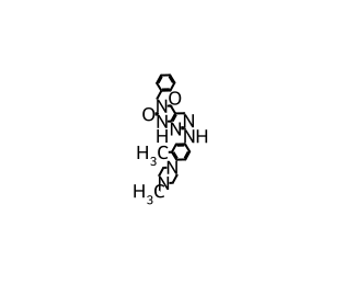 Cc1cc(Nc2ncc3c(=O)n(Cc4ccccc4)c(=O)[nH]c3n2)ccc1N1CCN(C)CC1